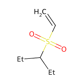 C=CS(=O)(=O)C(CC)CC